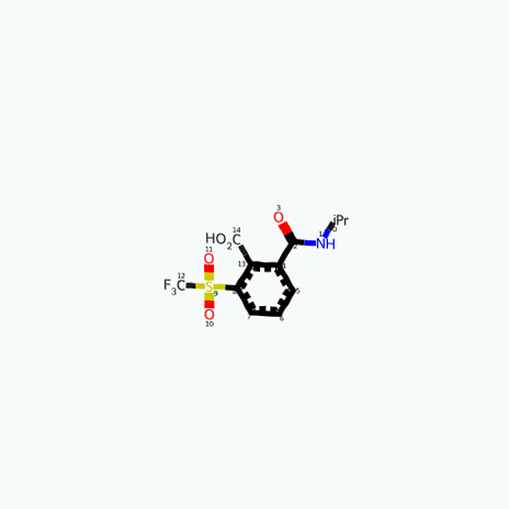 CC(C)NC(=O)c1cccc(S(=O)(=O)C(F)(F)F)c1C(=O)O